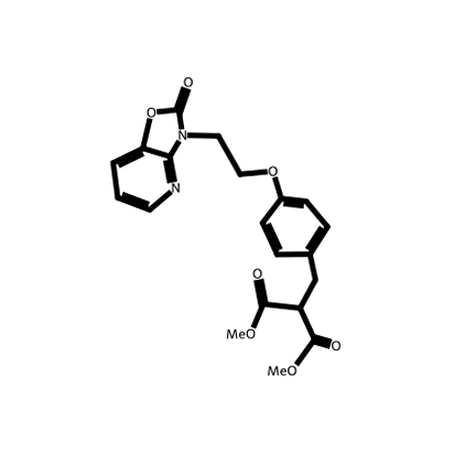 COC(=O)C(Cc1ccc(OCCn2c(=O)oc3cccnc32)cc1)C(=O)OC